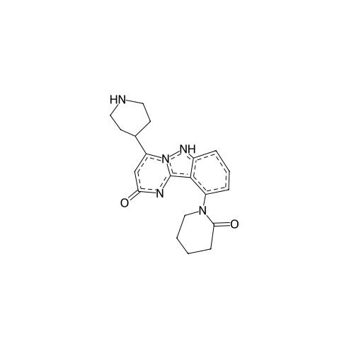 O=C1CCCCN1c1cccc2[nH]n3c(C4CCNCC4)cc(=O)nc3c12